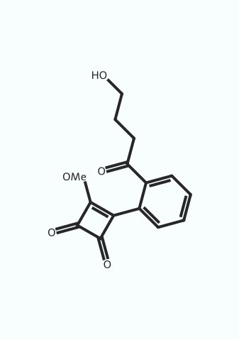 COc1c(-c2ccccc2C(=O)CCCO)c(=O)c1=O